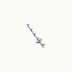 CCN(CC)CCNC(=O)/C=C(\C)CC/C=C(\C)CC/C=C(\C)CCC=C(C)C